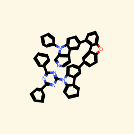 c1ccc(-c2nc(-c3ccccc3)nc(-n3c4ccccc4c4cc(-c5ccc6oc7cccc(-c8ccc9c(c8)c8ccncc8n9-c8ccccc8)c7c6c5)ccc43)n2)cc1